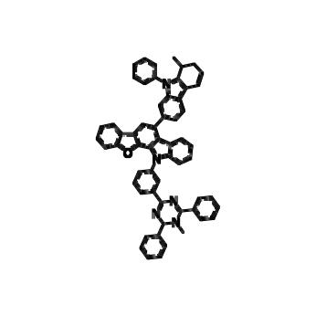 CC1CC=Cc2c1n(-c1ccccc1)c1cc(-c3cc4c5ccccc5oc4c4c3c3ccccc3n4-c3cccc(C4=NC(c5ccccc5)N(C)C(c5ccccc5)=N4)c3)ccc21